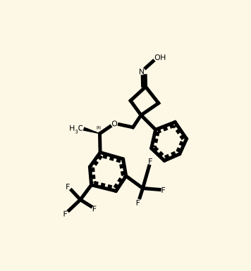 C[C@@H](OCC1(c2ccccc2)CC(=NO)C1)c1cc(C(F)(F)F)cc(C(F)(F)F)c1